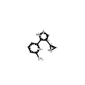 Cc1cccc(-c2[nH]ncc2C2=CN2)n1